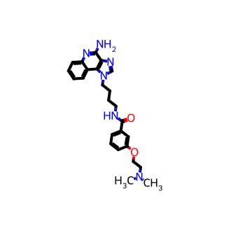 CN(C)CCOc1cccc(C(=O)NCCCCn2cnc3c(N)nc4ccccc4c32)c1